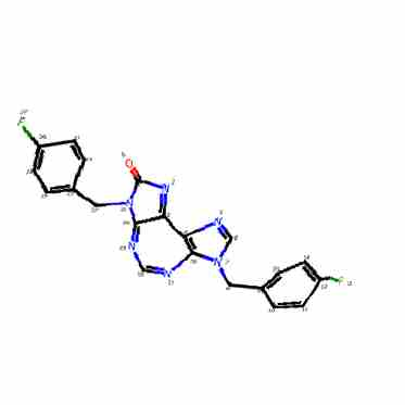 O=c1nc2c3ncn(Cc4ccc(F)cc4)c3ncnc-2n1Cc1ccc(F)cc1